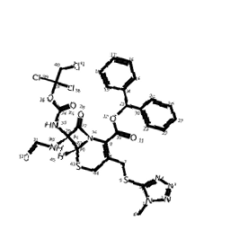 Cn1nnnc1SCC1=C(C(=O)OC(c2ccccc2)c2ccccc2)N2C(=O)[C@@](NC=O)(NC(=O)OC(Cl)(Cl)CCl)[C@H]2SC1